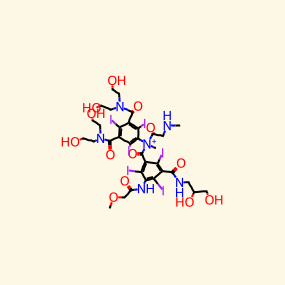 CNCC(=O)[N+](C)(C(=O)c1c(I)c(NC(=O)COC)c(I)c(C(=O)NCC(O)CO)c1I)c1c(I)c(C(=O)N(CCO)CCO)c(I)c(C(=O)N(CCO)CCO)c1I